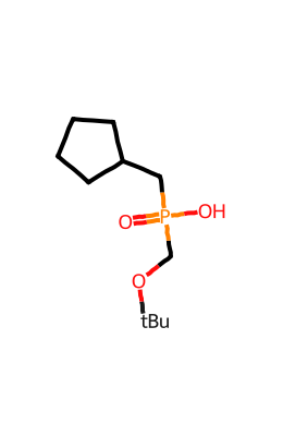 CC(C)(C)OCP(=O)(O)CC1CCCC1